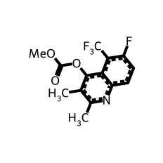 COC(=O)Oc1c(C)c(C)nc2ccc(F)c(C(F)(F)F)c12